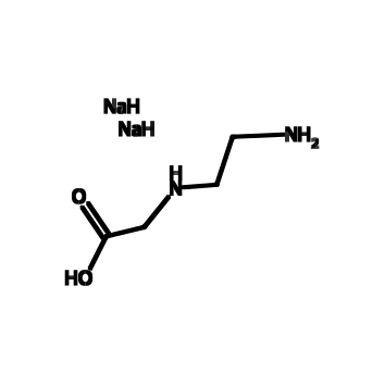 NCCNCC(=O)O.[NaH].[NaH]